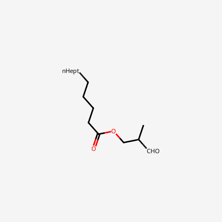 CCCCCCCCCCCC(=O)OCC(C)C=O